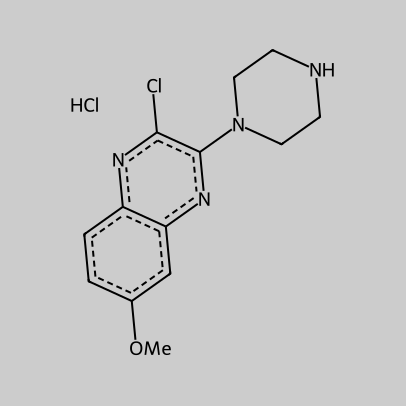 COc1ccc2nc(Cl)c(N3CCNCC3)nc2c1.Cl